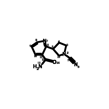 N#CN1CCC(c2ncccc2C(N)=O)C1